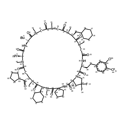 CCC[C@H]1C(=O)N[C@@H]([C@@H](C)CC)C(=O)N(C)CC(=O)N(C)CC(=O)N(C)[C@@H](CC2CCCCC2)C(=O)N(C)CC(=O)N[C@@H](CCc2ccc(C(F)(F)F)c(Cl)c2)C(=O)N2CC(F)(F)C[C@H]2C(=O)NC2(CCCC2)C(=O)N(C)[C@@H](C2CCCCC2)C(=O)N(C)[C@H](C(=O)N2CCCC2)CC(=O)N1C